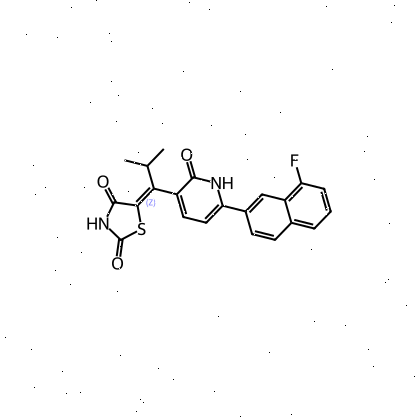 CC(C)/C(=C1/SC(=O)NC1=O)c1ccc(-c2ccc3cccc(F)c3c2)[nH]c1=O